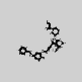 C=CC(=O)N1CCCC(n2nc(C#CCOc3cc(OCc4cccnc4)ccc3F)c3c(N)ncnc32)C1